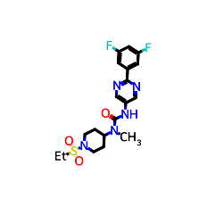 CCS(=O)(=O)N1CCC(N(C)C(=O)Nc2cnc(-c3cc(F)cc(F)c3)nc2)CC1